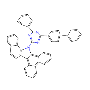 c1ccc(-c2ccc(-c3nc(-c4ccccc4)nc(-n4c5c6ccccc6ccc5c5c6ccccc6c6ccccc6c54)n3)cc2)cc1